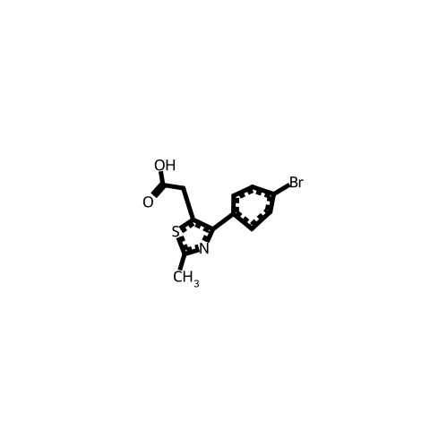 Cc1nc(-c2ccc(Br)cc2)c(CC(=O)O)s1